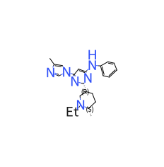 CCN1C[C@H](c2nc(Nc3ccccc3)cc(-n3cnc(C)c3)n2)CC[C@@H]1C